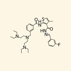 CCN(CC)CCN(CCN(CC)CC)Cc1cccc(C(=O)Nc2scc(C)c2C(=O)N/N=C/c2cccc(F)c2)c1